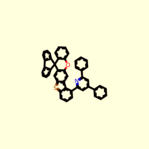 c1ccc(-c2cc(-c3ccccc3)nc(-c3cccc4sc5cc6c(cc5c34)Oc3ccccc3C63c4ccccc4-c4ccccc43)c2)cc1